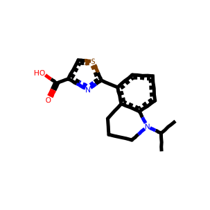 CC(C)N1CCCc2c(-c3nc(C(=O)O)cs3)cccc21